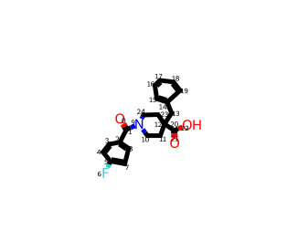 O=C(c1ccc(F)cc1)N1CCC(Cc2ccccc2)(C(=O)O)CC1